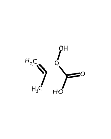 C=CC.O=C(O)OO